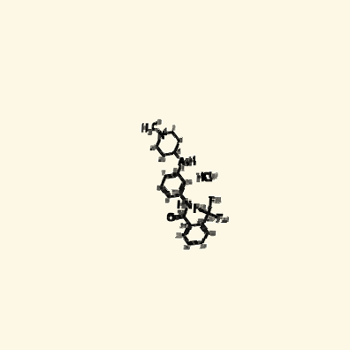 CN1CCC([AsH]c2cccc(NC(=O)c3ccccc3C(F)(F)F)c2)CC1.Cl